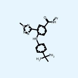 CC(C)NC(=O)c1ccc(Nc2ccc(C(C)(P)P)cc2)c(-c2nnn(C)n2)c1